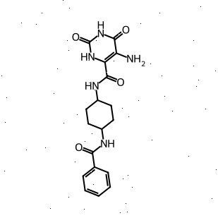 Nc1c(C(=O)NC2CCC(NC(=O)c3ccccc3)CC2)[nH]c(=O)[nH]c1=O